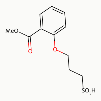 COC(=O)c1ccccc1OCCCS(=O)(=O)O